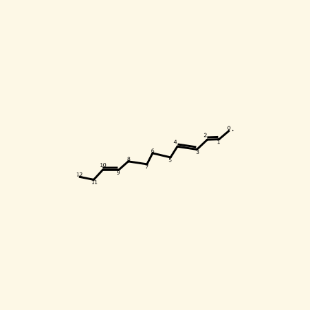 [CH2]C=CC=CCCCCC=CCC